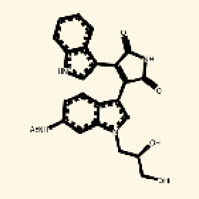 CC(=O)Nc1ccc2c(C3=C(c4c[nH]c5ccccc45)C(=O)NC3=O)cn(CC(O)CO)c2c1